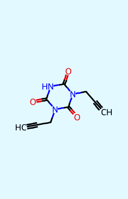 C#CCn1c(=O)[nH]c(=O)n(CC#C)c1=O